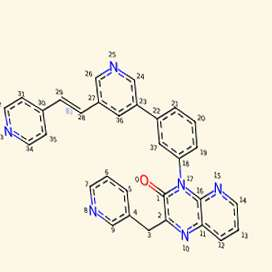 O=c1c(Cc2cccnc2)nc2cccnc2n1-c1cccc(-c2cncc(/C=C/c3ccncc3)c2)c1